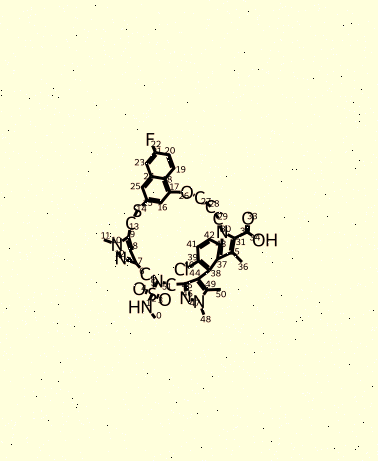 CNS(=O)(=O)N1Cc2cc(n(C)n2)CSc2cc(c3ccc(F)cc3c2)OCCCn2c(C(=O)O)c(C)c3c(c(Cl)ccc32)-c2c(nn(C)c2C)C1